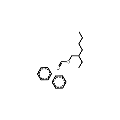 CCCCC(CC)COC=O.c1ccccc1.c1ccccc1